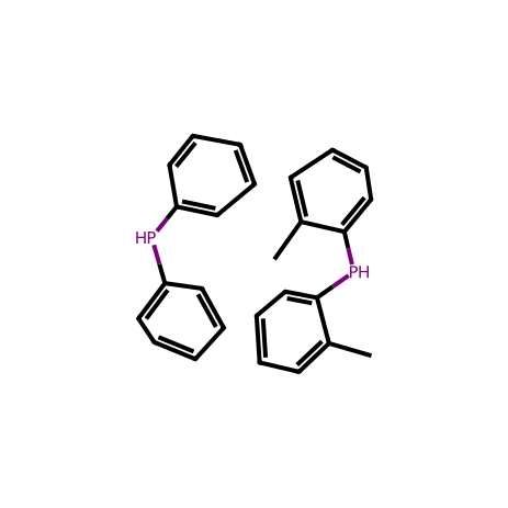 Cc1ccccc1Pc1ccccc1C.c1ccc(Pc2ccccc2)cc1